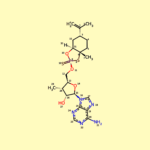 C=C(C)[C@@H]1CC[C@]2(C)S[P@@](=S)(OC[C@H]3O[C@@H](n4cnc5c(N)ncnc54)[C@H](O)[C@@H]3C)O[C@H]2C1